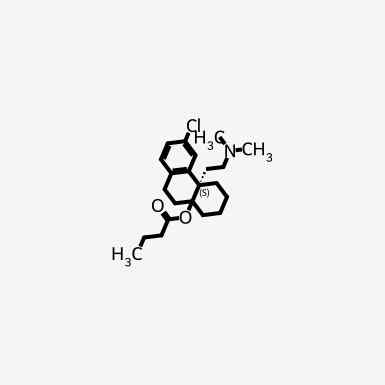 CCCC(=O)OC12CCCC[C@]1(CCN(C)C)c1cc(Cl)ccc1CC2